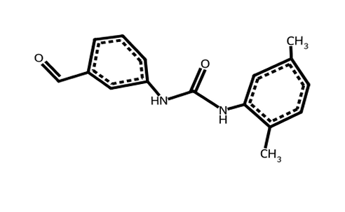 Cc1ccc(C)c(NC(=O)Nc2cccc(C=O)c2)c1